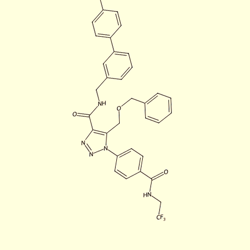 O=C(NCC(F)(F)F)c1ccc(-n2nnc(C(=O)NCc3cccc(-c4ccc(F)cc4)c3)c2COCc2ccccc2)cc1